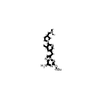 CCCCOc1nc(N)c2ncc(Cc3cnc(N4CCC(CN(C)C)C4)c(C)c3)n2n1